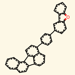 c1ccc2c3c(ccc2c1)-c1cccc2c(-c4ccc(-c5ccc6oc7ccccc7c6c5)cc4)ccc-3c12